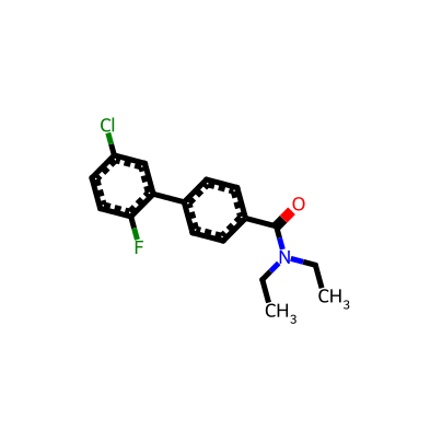 CCN(CC)C(=O)c1ccc(-c2cc(Cl)ccc2F)cc1